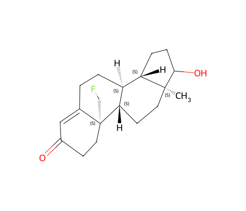 C[C@]12CC[C@H]3[C@@H](CCC4=CC(=O)CC[C@@]43CF)[C@@H]1CCC2O